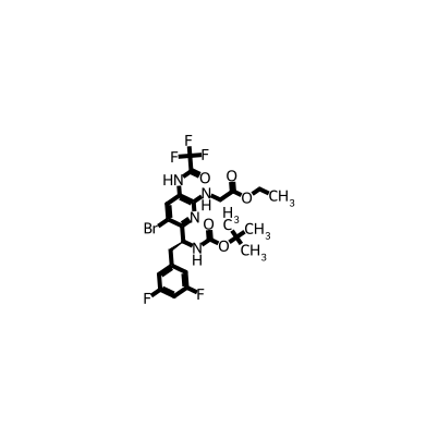 CCOC(=O)CNc1nc([C@H](Cc2cc(F)cc(F)c2)NC(=O)OC(C)(C)C)c(Br)cc1NC(=O)C(F)(F)F